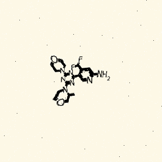 CC1COCCN1c1nc(-c2cnc(N)cc2C(F)F)nc(N2CCOCC2)n1